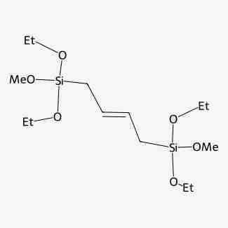 CCO[Si](CC=CC[Si](OC)(OCC)OCC)(OC)OCC